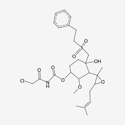 COC1C(OC(=O)NC(=O)CCl)CCC(O)(CS(=O)(=O)CCc2ccccc2)C1C1(C)OC1CC=C(C)C